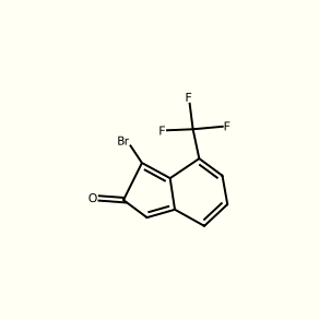 O=C1C=c2cccc(C(F)(F)F)c2=C1Br